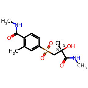 CNC(=O)c1ccc(S(=O)(=O)C[C@](C)(O)C(=O)NC)cc1C